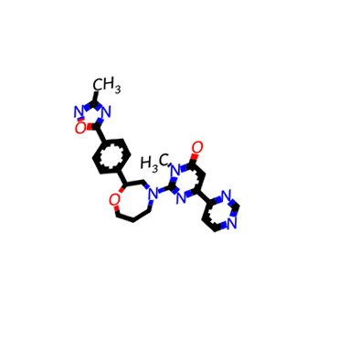 Cc1noc(-c2ccc(C3CN(c4nc(-c5ccncn5)cc(=O)n4C)CCCO3)cc2)n1